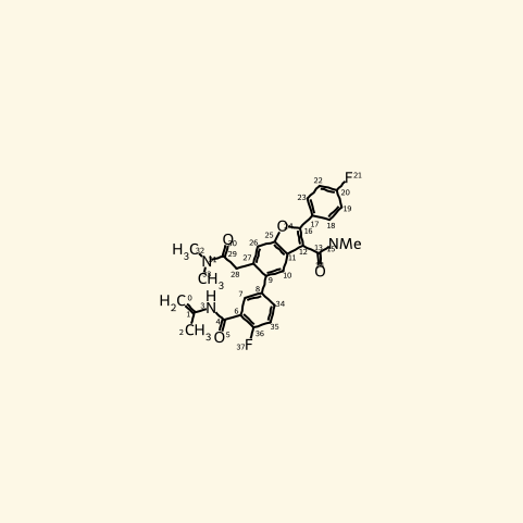 C=C(C)NC(=O)c1cc(-c2cc3c(C(=O)NC)c(-c4ccc(F)cc4)oc3cc2CC(=O)N(C)C)ccc1F